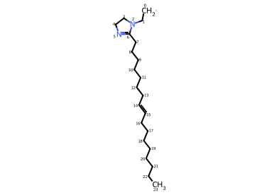 [CH2]CN1CCN=C1CCCCCCCC=CCCCCCCCC